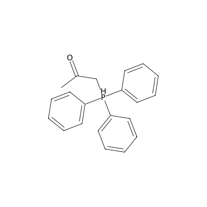 CC(=O)C[PH](c1ccccc1)(c1ccccc1)c1ccccc1